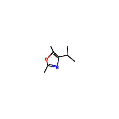 Cc1nc(C(C)C)c(C)o1